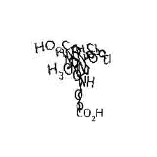 Cc1nc(Nc2ccccc2C(=O)O)c(NCc2ccc(-c3cc(Cl)ccc3Cl)o2)c(N2CCCC2C(=O)NCCOCCOCC(=O)O)n1